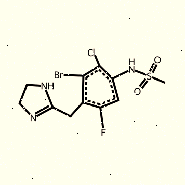 CS(=O)(=O)Nc1cc(F)c(CC2=NCCN2)c(Br)c1Cl